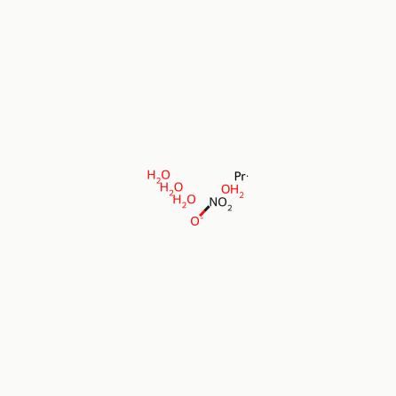 O.O.O.O.O=[N+]([O-])[O-].[Pr]